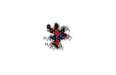 C=C/C=C\C(=C/C)c1cc(C(C)(C)C)cc(-c2ccccc2)c1N1c2cc(-c3cc(C(C)(C)C)cc(C(C)(C)C)c3)ccc2B2c3ccc(C(C)(C)C)cc3N(c3c(-c4ccccc4)cc(C(C)(C)C)cc3-c3ccccc3)c3cc(-c4cc(-c5ccc6oc7ccccc7c6c5)c5oc6ccccc6c5c4)cc1c32